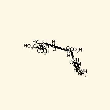 N=C(N)NCc1ccc(C(=O)NCCCCC(NC(=O)CCCCCCC(=O)NCCCC[C@H](NC(=O)N[C@@H](CCC(=O)O)C(=O)O)C(=O)O)C(=O)O)cc1I